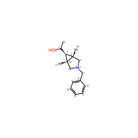 CC(O)[C@H]1[C@@H]2CN(Cc3ccccc3)C[C@@H]21